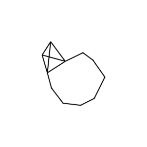 C1CCCC23C4C2C43CCC1